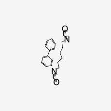 O=C=NCCCCCCN=C=O.c1ccc(-c2ccccc2)cc1